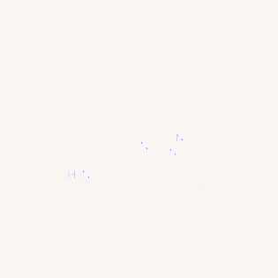 Cc1ccc2c(c1)N(c1ccc(N)cc1)C(=O)N(C1CCSCC1)N=C2C1CCCCC1